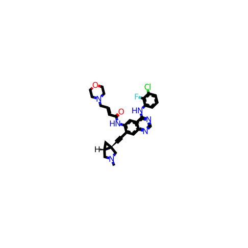 CN1C[C@@H]2C[C@]2(C#Cc2cc3ncnc(Nc4cccc(Cl)c4F)c3cc2NC(=O)/C=C/CN2CCOCC2)C1